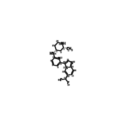 C[C@@H]1C[C@H](Nc2cccc(-c3cnc4ccc(C(F)F)cn34)n2)CCN1